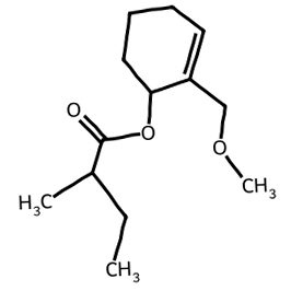 CCC(C)C(=O)OC1CCCC=C1COC